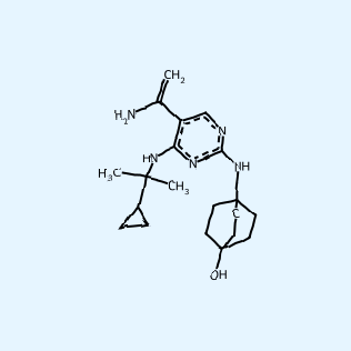 C=C(N)c1cnc(NC23CCC(O)(CC2)CC3)nc1NC(C)(C)C1CC1